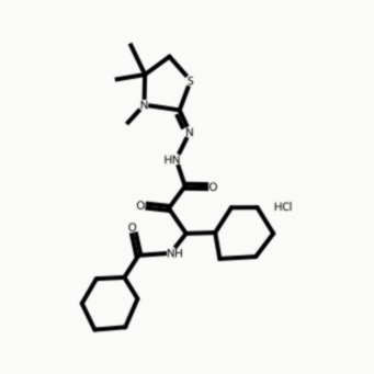 CN1C(=NNC(=O)C(=O)C(NC(=O)C2CCCCC2)C2CCCCC2)SCC1(C)C.Cl